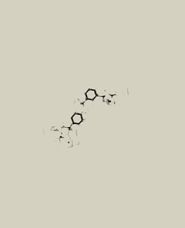 Cc1nc(-c2cccc(C(=O)Oc3ccc(C(O)CN(C)C(=O)OC(C)(C)C)cc3)c2)no1